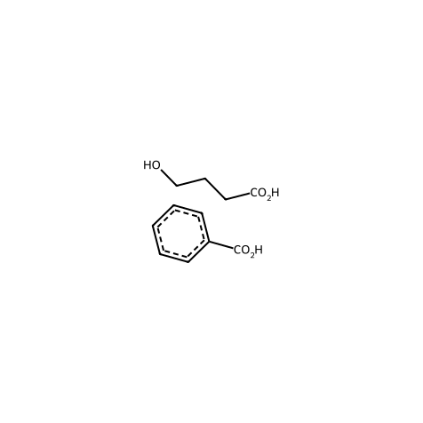 O=C(O)CCCO.O=C(O)c1ccccc1